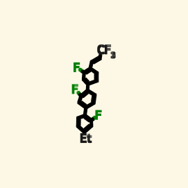 CCc1ccc(-c2ccc(-c3ccc(/C=C/C(F)(F)F)c(F)c3)c(F)c2)c(F)c1